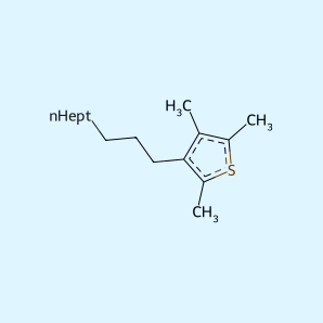 CCCCCCCCCCc1c(C)sc(C)c1C